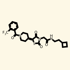 O=C(CN1C(=O)SC(=C2CCN(C(=O)c3ccccc3C(F)(F)F)CC2)C1=O)NCCC1CCC1